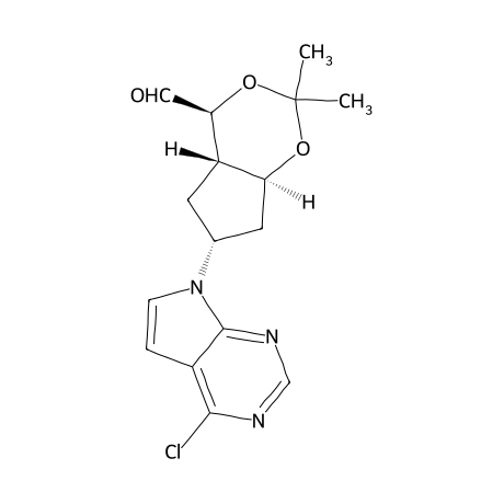 CC1(C)O[C@H]2C[C@H](n3ccc4c(Cl)ncnc43)C[C@@H]2[C@@H](C=O)O1